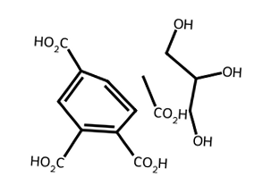 CC(=O)O.O=C(O)c1ccc(C(=O)O)c(C(=O)O)c1.OCC(O)CO